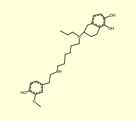 CCCN(CCCCCCNCCc1ccc(O)c(OC)c1)C1CCc2c(ccc(O)c2O)C1